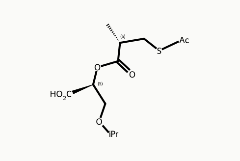 CC(=O)SC[C@@H](C)C(=O)O[C@@H](COC(C)C)C(=O)O